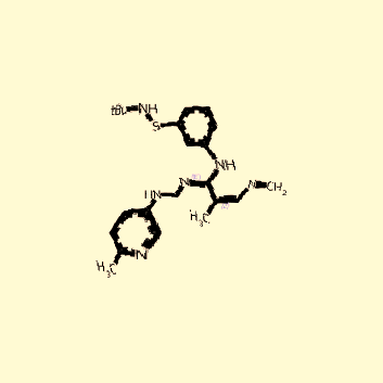 C=N/C=C(C)\C(=N/CNc1ccc(C)nc1)Nc1cccc(SNC(C)(C)C)c1